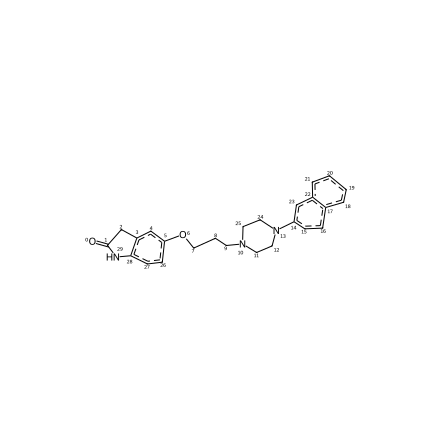 O=C1Cc2cc(OCCCN3CCN(c4ccc5ccccc5c4)CC3)ccc2N1